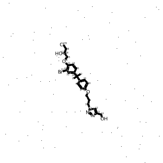 CC(C)(c1ccc(OCCCn2cc(CO)nn2)cc1)c1ccc(OC[C@H](O)CCl)c(Br)c1